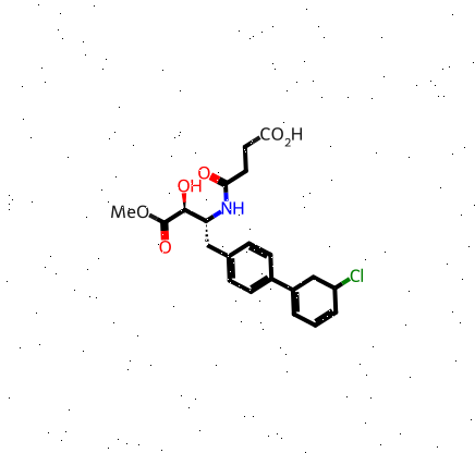 COC(=O)[C@@H](O)[C@@H](Cc1ccc(C2=CC=CC(Cl)C2)cc1)NC(=O)CCC(=O)O